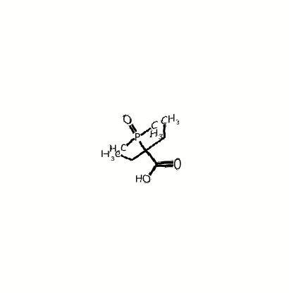 CCC(CC)(C(=O)O)P(C)(C)=O